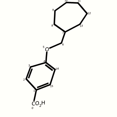 O=C(O)c1ccc(OCC2CCCCCC2)cc1